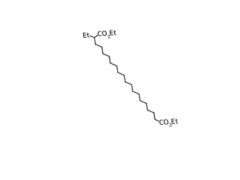 CCOC(=O)CCCCCCCCCCCCCCCCCC(CC)C(=O)OCC